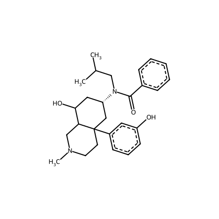 CC(C)CN(C(=O)c1ccccc1)[C@H]1CC(O)C2CN(C)CCC2(c2cccc(O)c2)C1